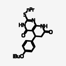 CCCSc1nc2c(c(=O)[nH]1)C(c1ccc(OCC(C)C)cc1)CC(=O)N2